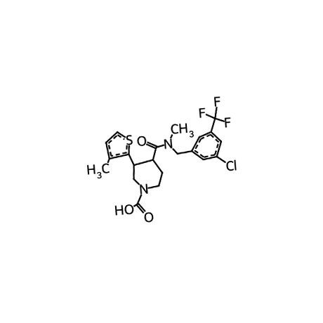 Cc1ccsc1C1CN(C(=O)O)CCC1C(=O)N(C)Cc1cc(Cl)cc(C(F)(F)F)c1